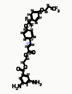 Nc1cc(N)cc(C(=O)OCCOC(=O)/C=C/c2ccc(OC(F)(F)c3ccc(OCCC(F)(F)F)cc3)cc2)c1